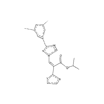 Cc1cc(C)cc(-c2ncn(/C=C(\C(=O)OC(C)C)c3nccs3)n2)c1